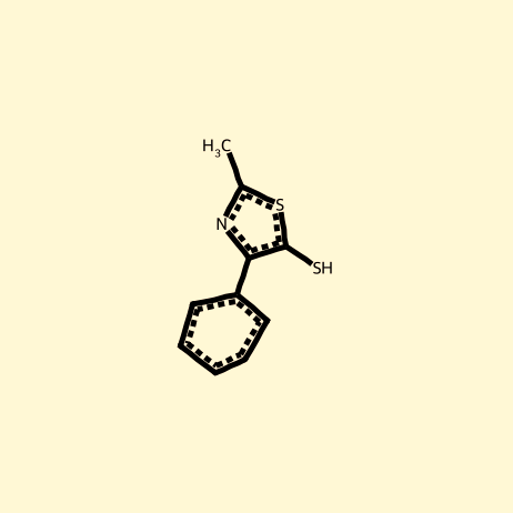 Cc1nc(-c2ccccc2)c(S)s1